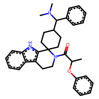 CC(Oc1ccccc1)C(=O)N1CCc2c([nH]c3ccccc23)C12CCC(C(c1ccccc1)N(C)C)CC2